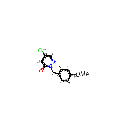 COc1ccc(Cn2ncc(Cl)cc2=O)cc1